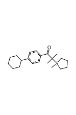 CC(C)(C(=O)c1ccc(C2CCCCC2)cc1)S1(C)CCCC1